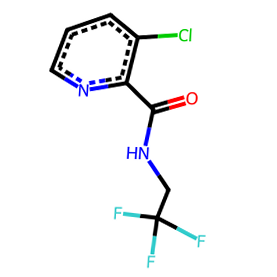 O=C(NCC(F)(F)F)c1ncccc1Cl